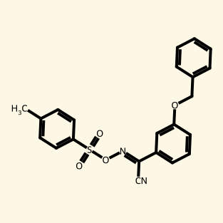 Cc1ccc(S(=O)(=O)O/N=C(\C#N)c2cccc(OCc3ccccc3)c2)cc1